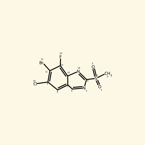 CS(=O)(=O)c1ncc2cc(Cl)c(Br)c(F)c2n1